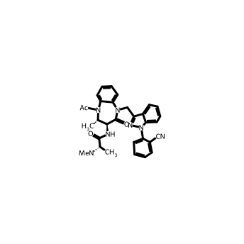 CN[C@@H](C)C(=O)N[C@@H]1C(=O)N(Cc2nn(-c3ccccc3C#N)c3ccccc23)c2ccccc2N(C(C)=O)[C@H]1C